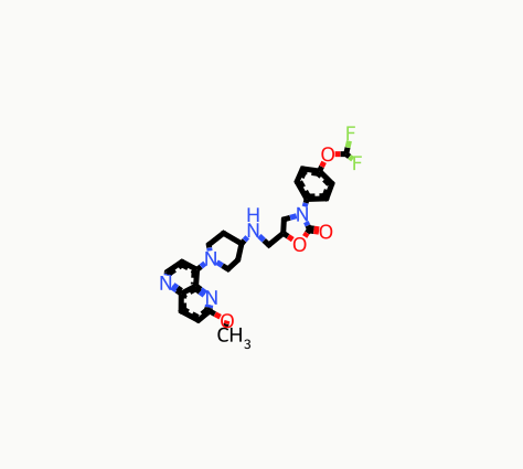 COc1ccc2nccc(N3CCC(NCC4CN(c5ccc(OC(F)F)cc5)C(=O)O4)CC3)c2n1